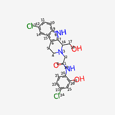 O=C(CN1CCc2c([nH]c3ccc(Cl)cc23)C1CO)Nc1ccc(Cl)cc1O